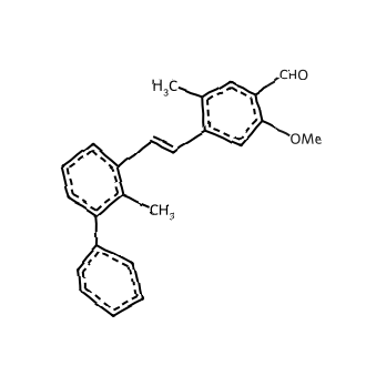 COc1cc(/C=C/c2cccc(-c3ccccc3)c2C)c(C)cc1C=O